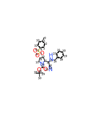 Cc1ccc(S(=O)(=O)O[C@@H]2C[C@@H](C(C#N)NCc3ccccc3)N(C(=O)OC(C)(C)C)C2)cc1